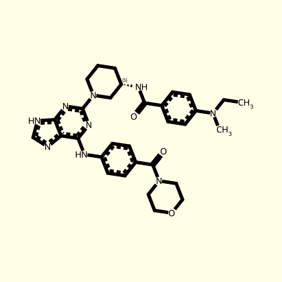 CCN(C)c1ccc(C(=O)N[C@H]2CCCN(c3nc(Nc4ccc(C(=O)N5CCOCC5)cc4)c4nc[nH]c4n3)C2)cc1